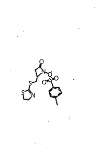 Cc1ccc(S(=O)(=O)ON2C(=O)CC2CSC2=NCCS2)cc1